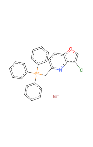 Clc1coc2ccc(C[P+](c3ccccc3)(c3ccccc3)c3ccccc3)nc12.[Br-]